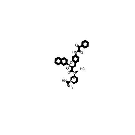 CN(C(=O)C(Cc1ccc(NC(=O)C(=O)c2ccccc2)cc1)S(=O)(=O)c1ccc2ccccc2c1)[C@H]1CCCN(C(=N)N)C1.Cl